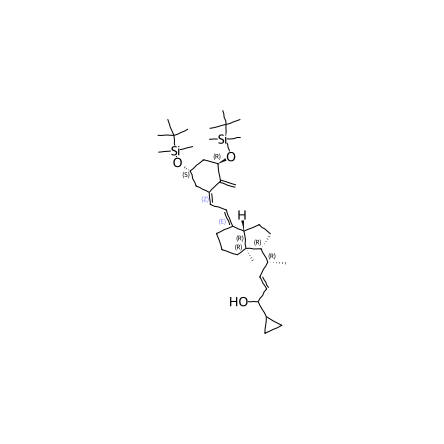 C=C1/C(=C\C=C2/CCC[C@]3(C)[C@@H]([C@H](C)C=CC(O)C4CC4)CC[C@@H]23)C[C@H](O[Si](C)(C)C(C)(C)C)C[C@H]1O[Si](C)(C)C(C)(C)C